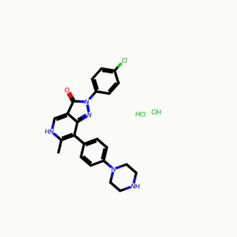 Cc1[nH]cc2c(=O)n(-c3ccc(Cl)cc3)nc-2c1-c1ccc(N2CCNCC2)cc1.Cl.Cl